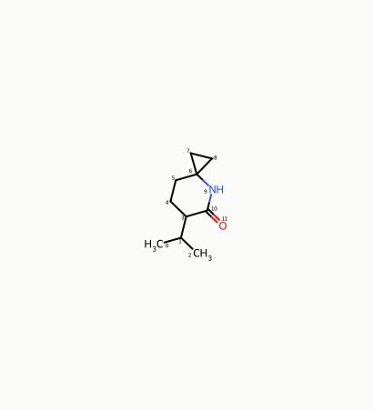 CC(C)C1CCC2(CC2)NC1=O